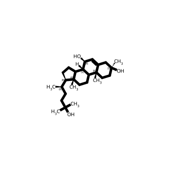 C[C@H](CCC(C)(C)O)[C@H]1CCC2[C@H]3C(CC[C@@]21C)[C@@]1(C)CC[C@](C)(O)CC1=C[C@@H]3O